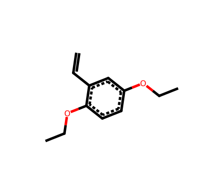 C=Cc1cc(OCC)ccc1OCC